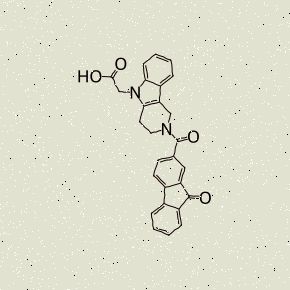 O=C(O)Cn1c2c(c3ccccc31)CN(C(=O)c1ccc3c(c1)C(=O)c1ccccc1-3)CC2